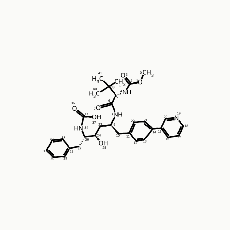 COC(=O)N[C@H](C(=O)N[C@@H](Cc1ccc(-c2cccnc2)cc1)C[C@@H](O)[C@H](Cc1ccccc1)NC(=O)O)C(C)(C)C